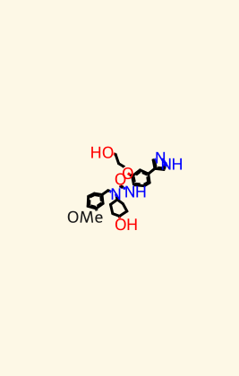 COc1cccc(CN(C(=O)Nc2ccc(-c3cn[nH]c3)cc2OCCCO)C2CCC(O)CC2)c1